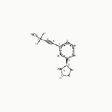 CC(C)(O)C#Cc1cccc([C@H]2CCON2)c1